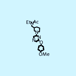 CCN(CC1CCCN(c2cncc(Oc3ccc(OC)cc3)n2)C1)C(C)=O